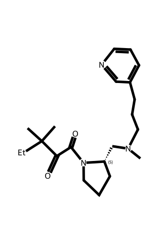 CCC(C)(C)C(=O)C(=O)N1CCC[C@H]1CN(C)CCCc1cccnc1